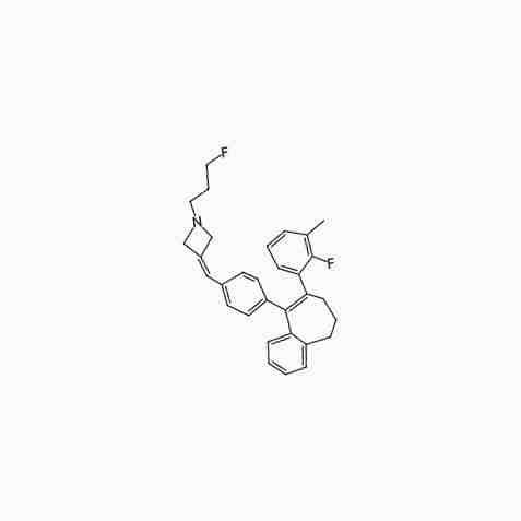 Cc1cccc(C2=C(c3ccc(C=C4CN(CCCF)C4)cc3)c3ccccc3CCC2)c1F